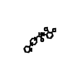 O=C(CN1CCN(c2ccccn2)CC1)Nc1cccc(Cl)c1Cl